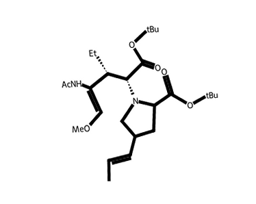 CC=CC1CC(C(=O)OC(C)(C)C)N([C@@H](C(=O)OC(C)(C)C)[C@@H](CC)C(=COC)NC(C)=O)C1